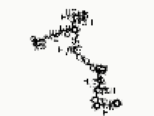 Cc1c(-c2ccc(C3CCc4cccc(C(=O)Nc5nc6ccccc6s5)c4C3)nc2CO)cnn1CC12CC3CC(C1)CC(OCCOCCOCCN(C)C(=O)OC/C=C/c1ccc(C[C@@H]4O[C@H](C(=O)O)[C@@H](O)[C@H](O)[C@H]4O)c(NC(=O)CCNC(=O)CCCCCN4C(=O)C=CC4=O)c1)(C3)C2